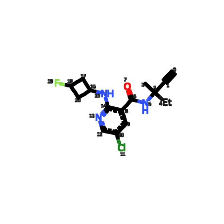 C#CC(C)(CC)NC(=O)c1cc(Cl)cnc1NC1CC(F)C1